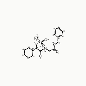 O=C(CNC(=O)C(OS(=O)(=O)C(F)(F)F)C1CCCCC1)OCc1ccccc1